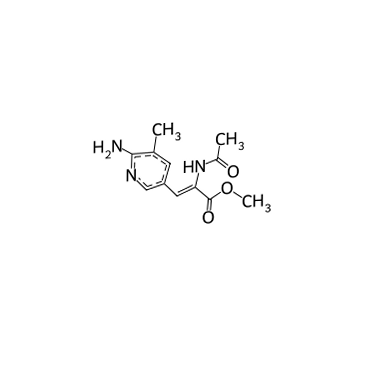 COC(=O)/C(=C/c1cnc(N)c(C)c1)NC(C)=O